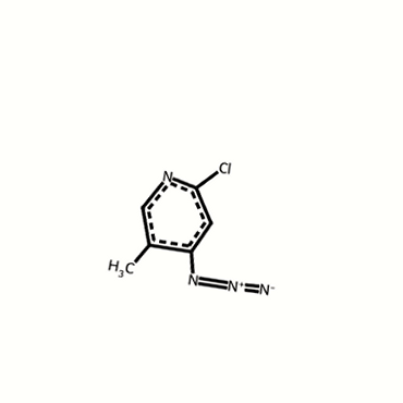 Cc1cnc(Cl)cc1N=[N+]=[N-]